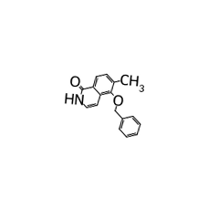 Cc1ccc2c(=O)[nH]ccc2c1OCc1ccccc1